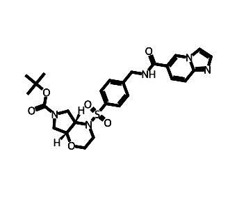 CC(C)(C)OC(=O)N1C[C@H]2OCCN(S(=O)(=O)c3ccc(CNC(=O)c4ccc5nccn5c4)cc3)[C@H]2C1